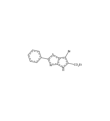 CCOC(=O)c1[nH]c2nc(-c3ccccc3)sc2c1Br